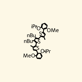 CCCCc1c(-c2sc(-c3c(OC)cccc3OC(C)C)cc2C)sc(-c2sc(-c3c(OC)cccc3OC(C)C)cc2C)c1CCCC